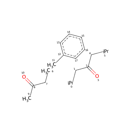 CC(C)CC(=O)CC(C)C.CCC(C)=O.Cc1ccccc1